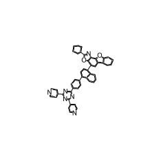 c1ccc(-c2nc3c(o2)c(-c2ccc(-c4ccc(-c5nc(-c6ccncc6)nc(-c6ccncc6)n5)cc4)c4ccccc24)cc2c4ccccc4oc23)cc1